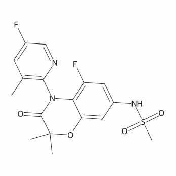 Cc1cc(F)cnc1N1C(=O)C(C)(C)Oc2cc(NS(C)(=O)=O)cc(F)c21